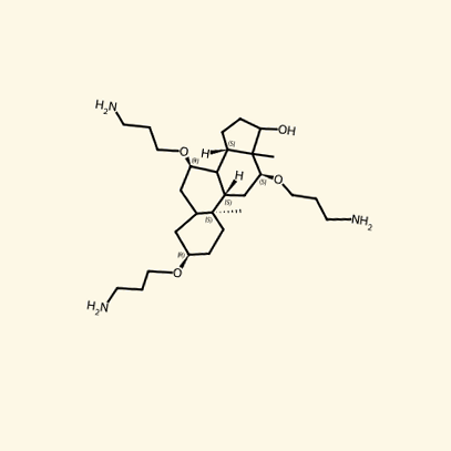 CC12C(O)CC[C@H]1C1[C@H](OCCCN)CC3C[C@H](OCCCN)CC[C@]3(C)[C@H]1C[C@@H]2OCCCN